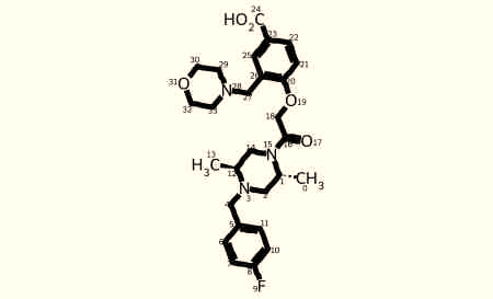 C[C@@H]1CN(Cc2ccc(F)cc2)[C@@H](C)CN1C(=O)COc1ccc(C(=O)O)cc1CN1CCOCC1